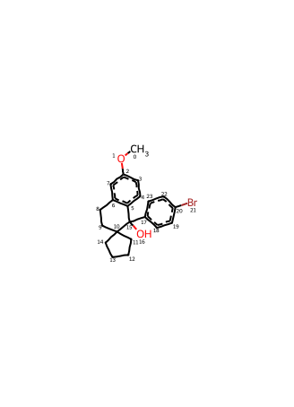 COc1ccc2c(c1)CCC1(CCCC1)C2(O)c1ccc(Br)cc1